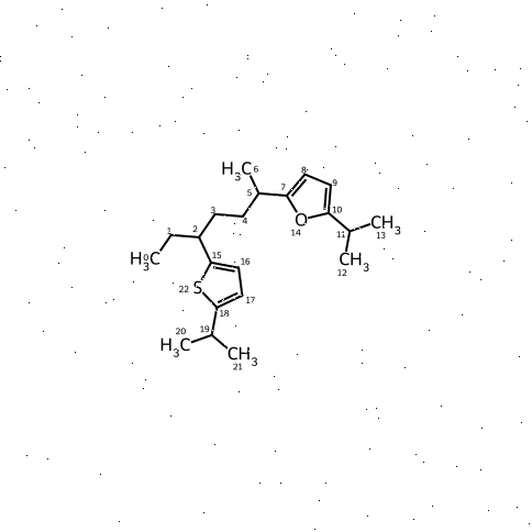 CCC(CCC(C)c1ccc(C(C)C)o1)c1ccc(C(C)C)s1